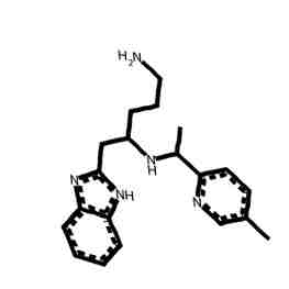 Cc1ccc(C(C)NC(CCCN)Cc2nc3ccccc3[nH]2)nc1